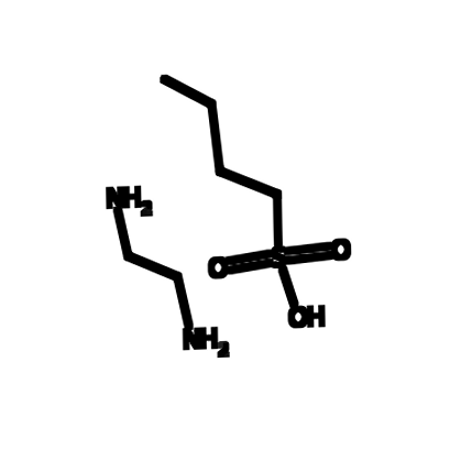 CCCCS(=O)(=O)O.NCCN